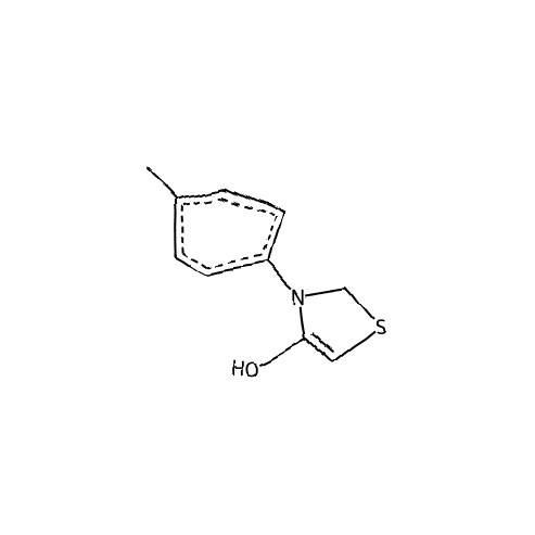 Cc1ccc(N2CSC=C2O)cc1